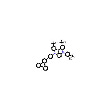 CCC(C)(C)c1ccc(N2c3ccc(C(C)(C)CC)cc3B3c4cc(C(C)(C)CC)ccc4N(c4ccc(-c5ccc6c7ccccc7c7ccccc7c6c5)cc4)c4cccc2c43)cc1